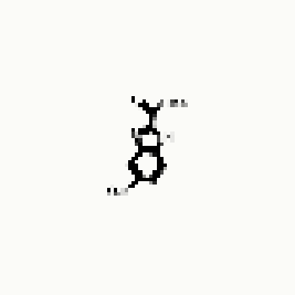 COC(=O)c1nc2cc([N+](=O)[O-])ccc2[nH]1